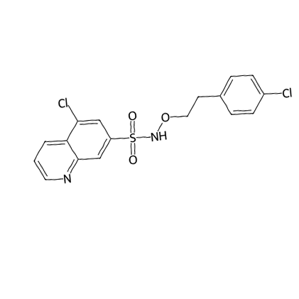 O=S(=O)(NOCCc1ccc(Cl)cc1)c1cc(Cl)c2cccnc2c1